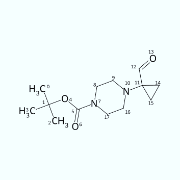 CC(C)(C)OC(=O)N1CCN(C2(C=O)CC2)CC1